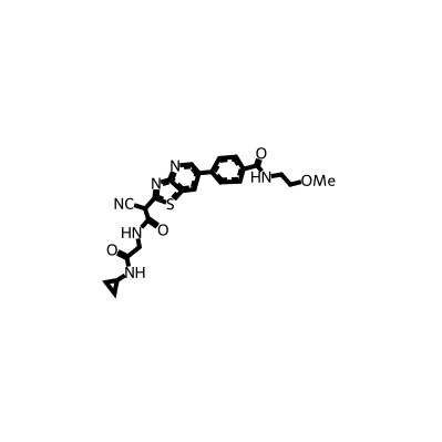 COCCNC(=O)c1ccc(-c2cnc3nc(C(C#N)C(=O)NCC(=O)NC4CC4)sc3c2)cc1